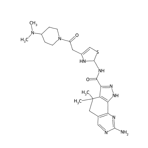 CN(C)C1CCN(C(=O)CC2=CSC(NC(=O)c3n[nH]c4c3C(C)(C)Cc3cnc(N)nc3-4)N2)CC1